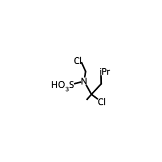 CC(C)CC(C)(Cl)N(CCl)S(=O)(=O)O